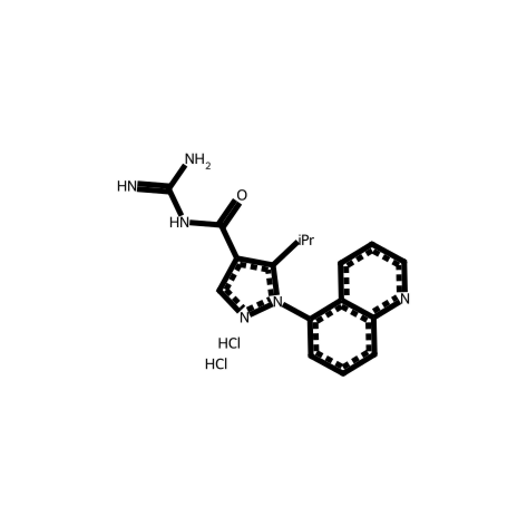 CC(C)c1c(C(=O)NC(=N)N)cnn1-c1cccc2ncccc12.Cl.Cl